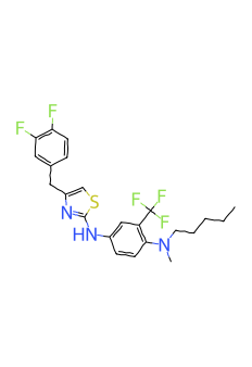 CCCCCN(C)c1ccc(Nc2nc(Cc3ccc(F)c(F)c3)cs2)cc1C(F)(F)F